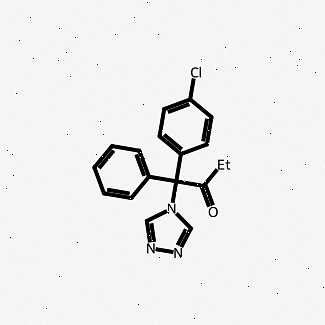 CCC(=O)C(c1ccccc1)(c1ccc(Cl)cc1)n1cnnc1